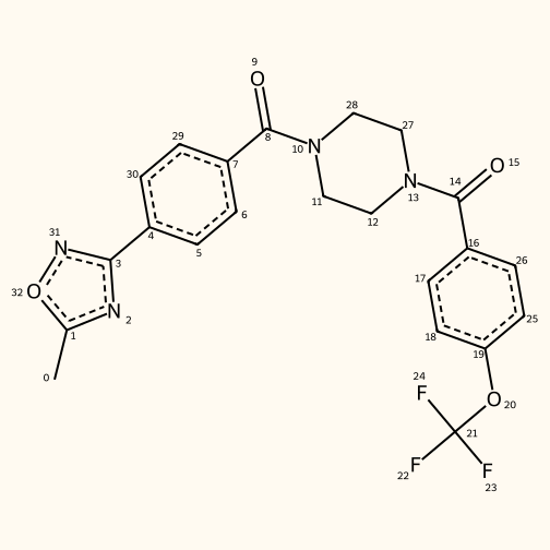 Cc1nc(-c2ccc(C(=O)N3CCN(C(=O)c4ccc(OC(F)(F)F)cc4)CC3)cc2)no1